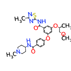 COC[C@H](C)Oc1cc(Oc2ccc(C(=O)NC3CCN(C)CC3)cc2)cc(C(=O)Nc2nc(C)ns2)c1